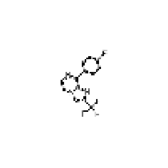 Fc1ccc(-c2nccn3cc(C(F)(F)F)nc23)cc1